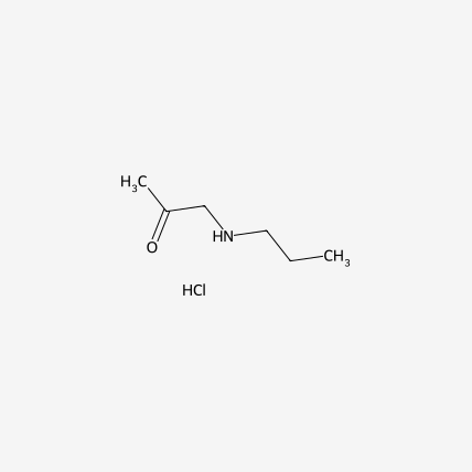 CCCNCC(C)=O.Cl